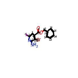 Nc1nc(I)cc(C(=O)OCc2ccccc2)c1Br